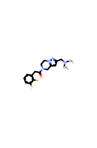 CN(C)Cc1cc2n(n1)CCN(C(=O)Cc1cccc(F)c1F)C2